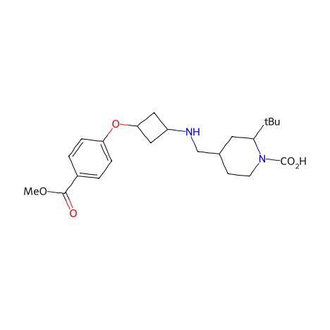 COC(=O)c1ccc(OC2CC(NCC3CCN(C(=O)O)C(C(C)(C)C)C3)C2)cc1